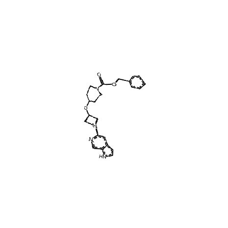 O=C(OCc1ccccc1)N1CCC(OC2CN(c3cc4cc[nH]c4cn3)C2)CC1